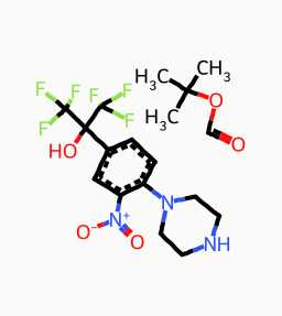 CC(C)(C)OC=O.O=[N+]([O-])c1cc(C(O)(C(F)(F)F)C(F)(F)F)ccc1N1CCNCC1